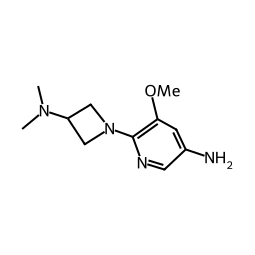 COc1cc(N)cnc1N1CC(N(C)C)C1